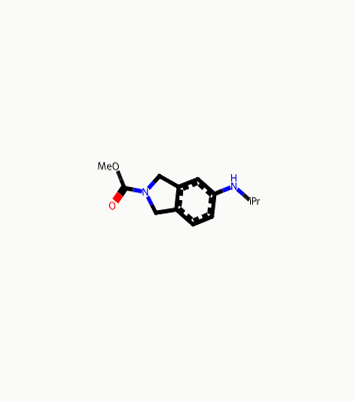 COC(=O)N1Cc2ccc(NC(C)C)cc2C1